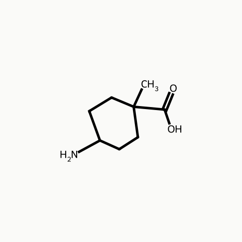 CC1(C(=O)O)CCC(N)CC1